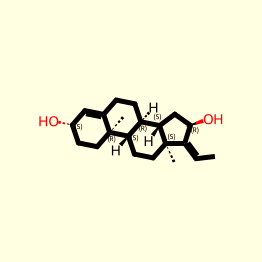 CC=C1[C@H](O)C[C@H]2[C@@H]3CCC4=C[C@@H](O)CC[C@]4(C)[C@H]3CC[C@]12C